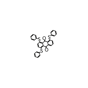 O=C1c2cccc(Sc3ccccc3)c2C(=O)c2c(Sc3ccccc3)ccc(Sc3ccccc3)c21